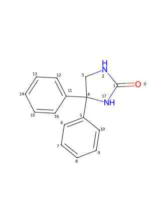 O=C1NCC(c2ccccc2)(c2ccccc2)N1